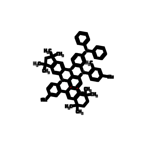 Cc1cc(C(C)(C)C)ccc1N1c2cc(N(c3ccccc3)c3ccccc3)ccc2B2c3cc4c(cc3N(c3ccc(C(C)(C)C)cc3-c3ccc5c(c3)C(C)(C)CCC5(C)C)c3cc(C(C)(C)C)cc1c32)C(C)(C)CC4(C)C